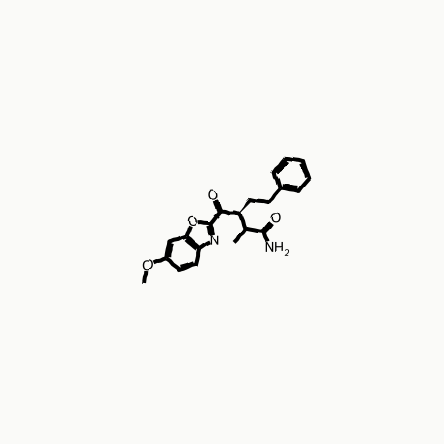 COc1ccc2nc(C(=O)[C@@H](CCc3ccccc3)C(C)C(N)=O)oc2c1